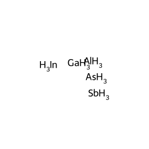 [AlH3].[AsH3].[GaH3].[InH3].[SbH3]